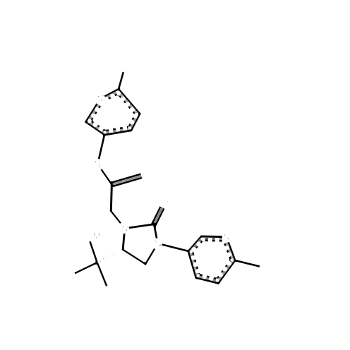 COC(C)(C)[C@H]1CN(c2ccc(C(F)(F)F)nc2)C(=O)N1CC(=O)Nc1ccc(C(F)(F)F)nc1